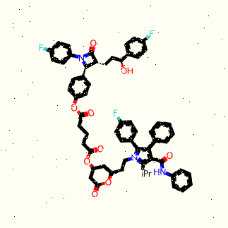 CC(C)c1c(C(=O)Nc2ccccc2)c(-c2ccccc2)c(-c2ccc(F)cc2)n1CCC1CC(OC(=O)CCCC(=O)Oc2ccc([C@@H]3[C@@H](CC[C@H](O)c4ccc(F)cc4)C(=O)N3c3ccc(F)cc3)cc2)CC(=O)O1